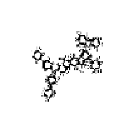 CC1(C)c2cc(N(c3ccc(-c4ccccc4)cc3)c3ccc(-c4ccccc4)cc3)ccc2-c2cc3c(cc21)-c1cc(-n2c4ccccc4c4ccccc42)cc(-c2ccccc2)c1C3(C)C